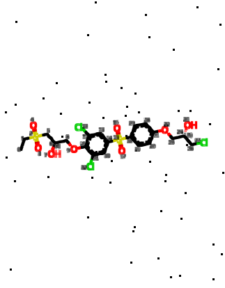 CCS(=O)(=O)C[C@H](O)COc1c(Cl)cc(S(=O)(=O)c2ccc(OC[C@H](O)CCl)cc2)cc1Cl